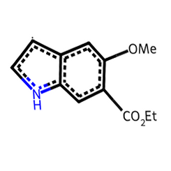 CCOC(=O)c1cc2[nH]c[c]c2cc1OC